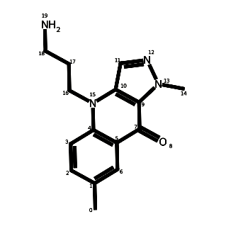 Cc1ccc2c(c1)c(=O)c1c(cnn1C)n2CCCN